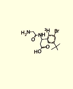 [2H]c1c(Br)cc(C(C)(C)C)cc1C(CC(=O)O)NC(=O)CN